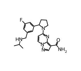 CC(C)NCc1cc(F)cc(C2CCCN2c2ccn3ncc(C(N)=O)c3n2)c1